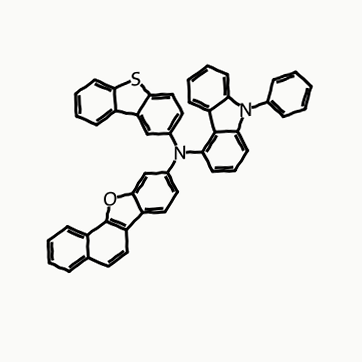 c1ccc(-n2c3ccccc3c3c(N(c4ccc5c(c4)oc4c6ccccc6ccc54)c4ccc5sc6ccccc6c5c4)cccc32)cc1